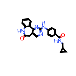 O=C1Cc2cnc(Nc3ccc(C(=O)NCC4CC4)cc3)nc2-c2ccccc2N1